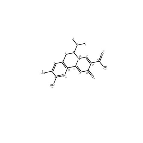 CC(C)C1Cc2cc(O)c(O)nc2-c2cc(=O)c(C(=O)O)cn21